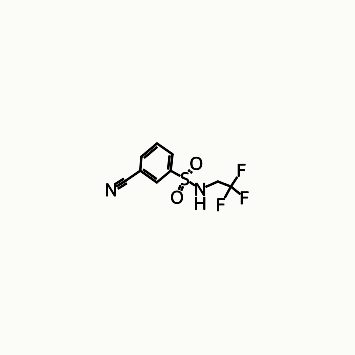 N#Cc1cccc(S(=O)(=O)NCC(F)(F)F)c1